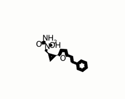 NC(=O)N(O)C[C@@H]1C[C@H]1c1ccc(C=Cc2ccccc2)o1